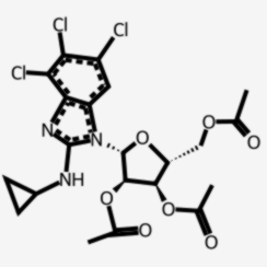 CC(=O)OC[C@H]1O[C@@H](n2c(NC3CC3)nc3c(Cl)c(Cl)c(Cl)cc32)[C@H](OC(C)=O)[C@@H]1OC(C)=O